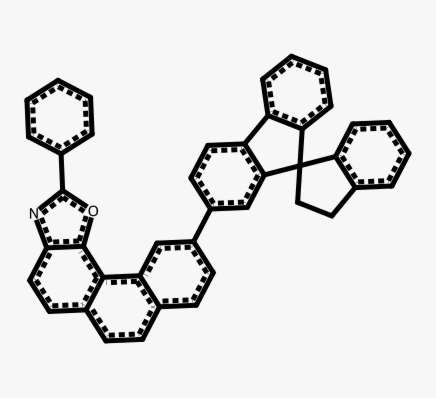 c1ccc(-c2nc3ccc4ccc5ccc(-c6ccc7c(c6)C6(CCc8ccccc86)c6ccccc6-7)cc5c4c3o2)cc1